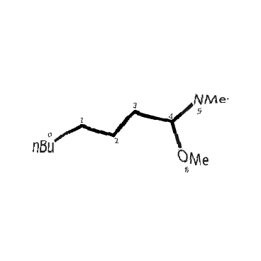 CCCCCCCC([N]C)OC